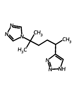 CC(CCC(C)(C)n1cnnc1)c1c[nH]nn1